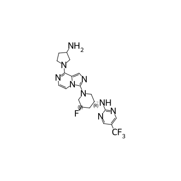 NC1CCN(c2nccn3c(N4C[C@H](F)C[C@@H](Nc5ncc(C(F)(F)F)cn5)C4)ncc23)C1